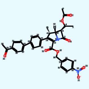 CC(=O)OC(C)[C@H]1C(=O)N2C(C(=O)OCc3ccc([N+](=O)[O-])cc3)=C(c3ccc(-c4ccc(C(C)=O)cc4)cc3)[C@H](C)[C@H]12